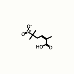 CC(=CCC(C)(C)[N+](=O)[O-])C(=O)O